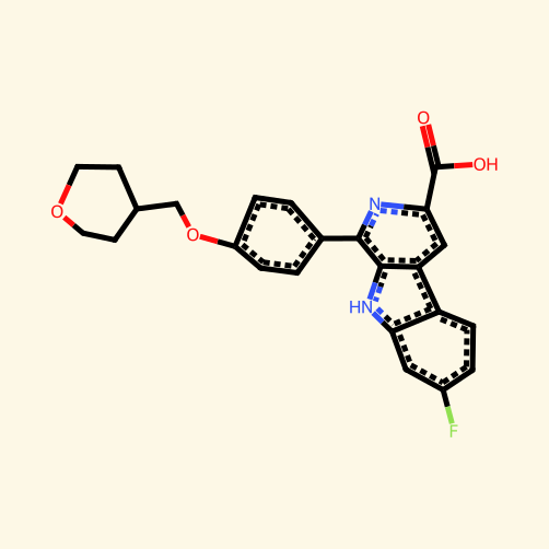 O=C(O)c1cc2c([nH]c3cc(F)ccc32)c(-c2ccc(OCC3CCOCC3)cc2)n1